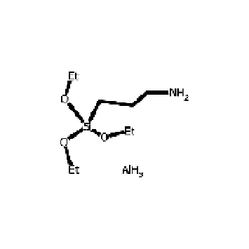 CCO[Si](CCCN)(OCC)OCC.[AlH3]